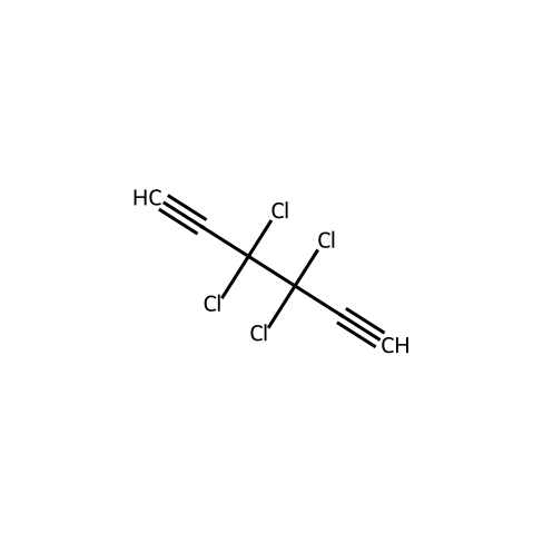 C#CC(Cl)(Cl)C(Cl)(Cl)C#C